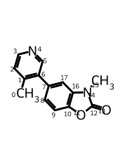 Cc1ccncc1-c1ccc2oc(=O)n(C)c2c1